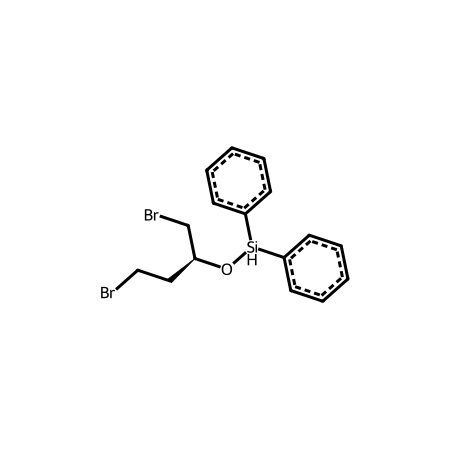 BrCC[C@@H](CBr)O[SiH](c1ccccc1)c1ccccc1